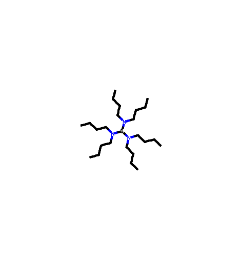 CCCCN(CCCC)B(N(CCCC)CCCC)N(CCCC)CCCC